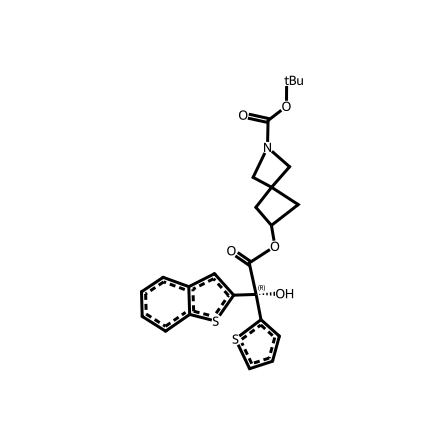 CC(C)(C)OC(=O)N1CC2(CC(OC(=O)[C@@](O)(c3cccs3)c3cc4ccccc4s3)C2)C1